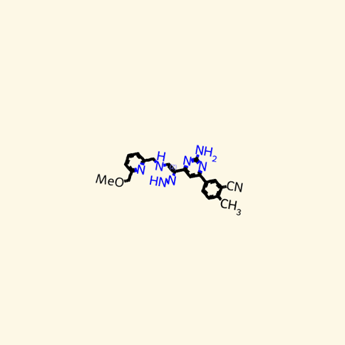 COCc1cccc(CN/C=C(\N=N)c2cc(-c3ccc(C)c(C#N)c3)nc(N)n2)n1